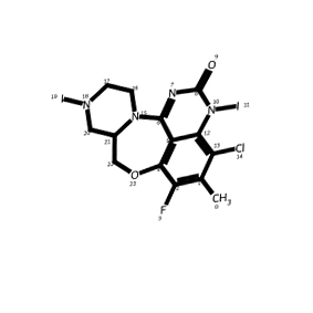 Cc1c(F)c2c3c(nc(=O)n(I)c3c1Cl)N1CCN(I)CC1CO2